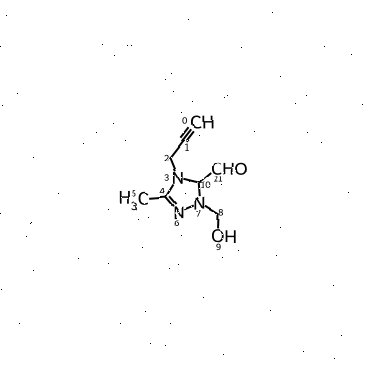 C#CCN1C(C)=NN(CO)C1C=O